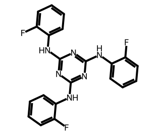 Fc1ccccc1Nc1nc(Nc2ccccc2F)nc(Nc2ccccc2F)n1